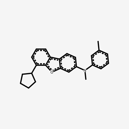 Cc1cccc(N(C)c2ccc3c(c2)oc2c(C4CCCC4)cccc23)c1